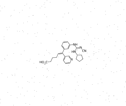 N#CN=C(Nc1cccc(C(=CCCCC(=O)O)c2cccnc2)c1)NC1CCCC1